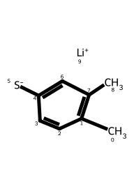 Cc1ccc([S-])cc1C.[Li+]